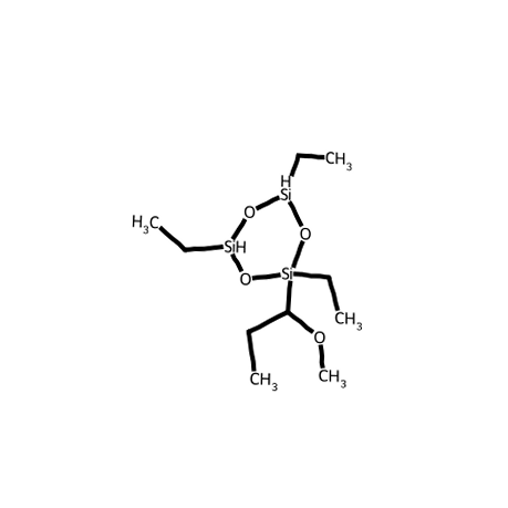 CCC(OC)[Si]1(CC)O[SiH](CC)O[SiH](CC)O1